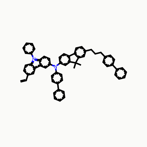 C=Cc1ccc2c(c1)c1cc(N(c3ccc(-c4ccccc4)cc3)c3ccc4c(c3)C(C)(C)c3cc(CCCc5ccc(-c6ccccc6)cc5)ccc3-4)ccc1n2-c1ccccc1